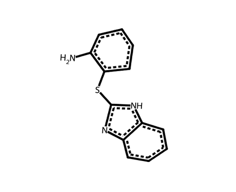 Nc1ccccc1Sc1nc2ccccc2[nH]1